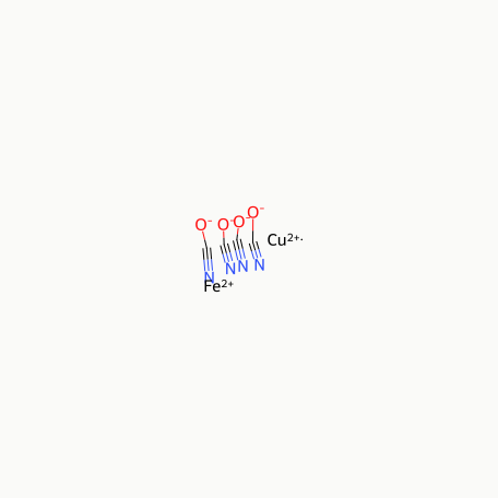 N#C[O-].N#C[O-].N#C[O-].N#C[O-].[Cu+2].[Fe+2]